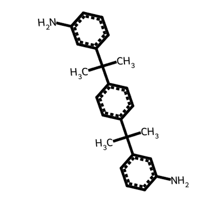 CC(C)(c1ccc(C(C)(C)c2cccc(N)c2)cc1)c1cccc(N)c1